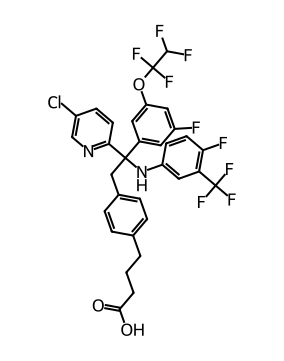 O=C(O)CCCc1ccc(CC(Nc2ccc(F)c(C(F)(F)F)c2)(c2cc(F)cc(OC(F)(F)C(F)F)c2)c2ccc(Cl)cn2)cc1